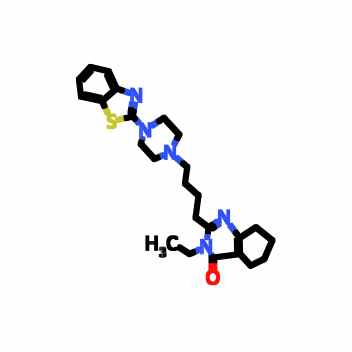 CCn1c(CCCCN2CCN(c3nc4ccccc4s3)CC2)nc2c(c1=O)CCCC2